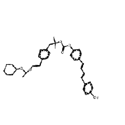 CC(OC=Cc1ccc(CC(C)(C)OC(=O)Oc2ccc(C=CC=Cc3ccc(O)cc3)cc2)cc1)OC1CCCCC1